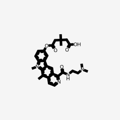 Cc1c2ccnc(C(=O)NCCN(C)C)c2cc2c3cc(OC(=O)CC(C)(C)CC(=O)O)ccc3n(C)c12